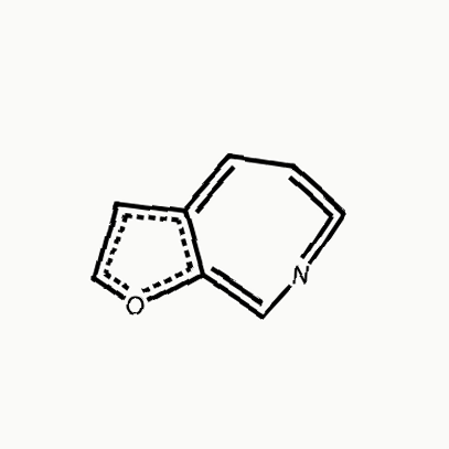 C1=CC=c2ccoc2=CN=1